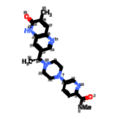 CNC(=O)c1ccc(N2CCN([C@H](C)c3cnc4cc(C)c(=O)[nH]c4c3)CC2)cn1